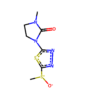 CN1CCN(c2nnc([S+](C)[O-])s2)C1=O